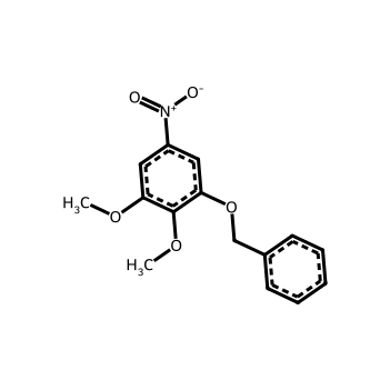 COc1cc([N+](=O)[O-])cc(OCc2ccccc2)c1OC